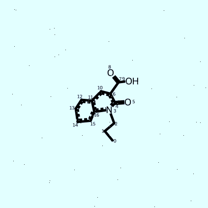 CCCn1c(=O)c(C(=O)O)cc2ccccc21